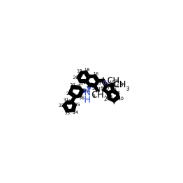 C=Cc1c(/C=C2\Cc3ccccc3C2(C)C)cc2ccccc2c1Nc1cccc(-c2ccccc2)c1